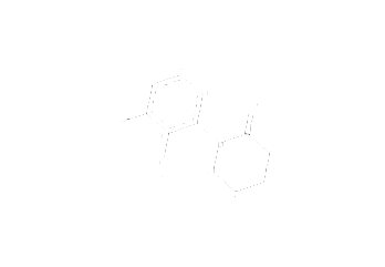 O=C1CCCCC1c1cccc(Cl)c1Cl